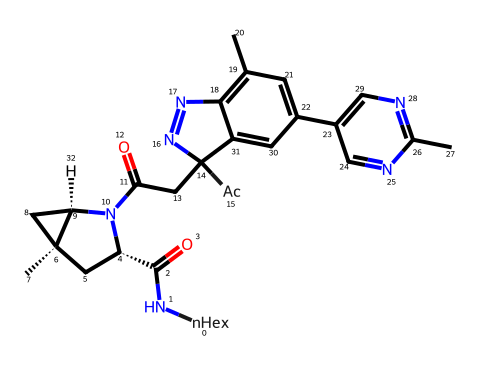 CCCCCCNC(=O)[C@@H]1C[C@@]2(C)C[C@H]2N1C(=O)CC1(C(C)=O)N=Nc2c(C)cc(-c3cnc(C)nc3)cc21